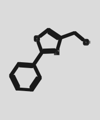 [O]Cc1coc(-c2ccccc2)n1